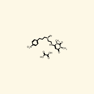 CC(C)N(CCCc1ccc([N+](=O)[O-])cc1)CCNc1cc(=O)n(C)c(=O)n1C.O=C(O)C(=O)O